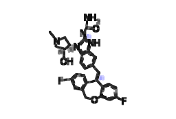 CN1C[C@H](O)[C@@H](n2/c(=N/C(N)=O)[nH]c3cc(/C=C4\c5ccc(F)cc5COc5cc(F)ccc54)ccc32)C1